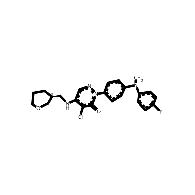 CN(c1ccc(F)cc1)c1ccc(-n2ncc(NC[C@@H]3CCCOC3)c(Cl)c2=O)cc1